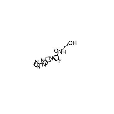 O=C(NCCCCCO)c1cc(F)cc(N2CCc3nc(-c4ncccn4)ncc3C2)c1